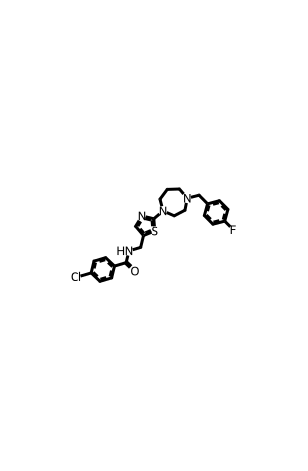 O=C(NCc1cnc(N2CCCN(Cc3ccc(F)cc3)CC2)s1)c1ccc(Cl)cc1